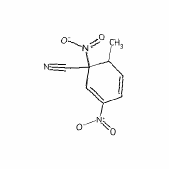 CC1C=CC([N+](=O)[O-])=CC1(C#N)[N+](=O)[O-]